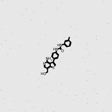 Cc1cccc(NC(=O)Nc2ccc(-c3csc4c(CO)cnc(N)c34)cc2)c1